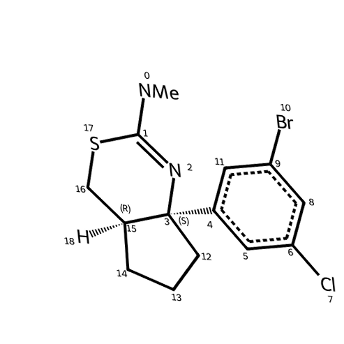 CNC1=N[C@@]2(c3cc(Cl)cc(Br)c3)CCC[C@H]2CS1